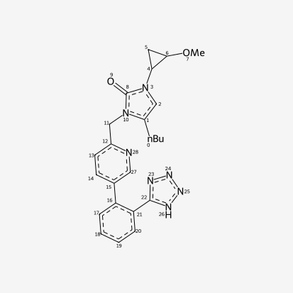 CCCCc1cn(C2CC2OC)c(=O)n1Cc1ccc(-c2ccccc2-c2nnn[nH]2)cn1